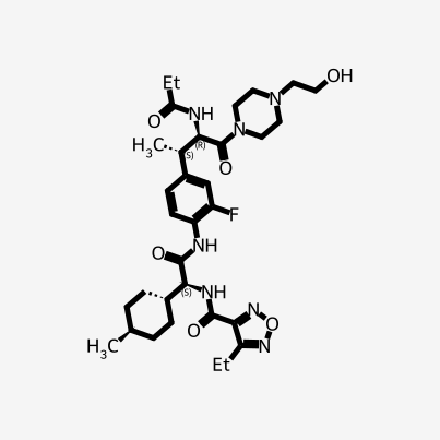 CCC(=O)N[C@@H](C(=O)N1CCN(CCO)CC1)[C@@H](C)c1ccc(NC(=O)[C@@H](NC(=O)c2nonc2CC)[C@H]2CC[C@H](C)CC2)c(F)c1